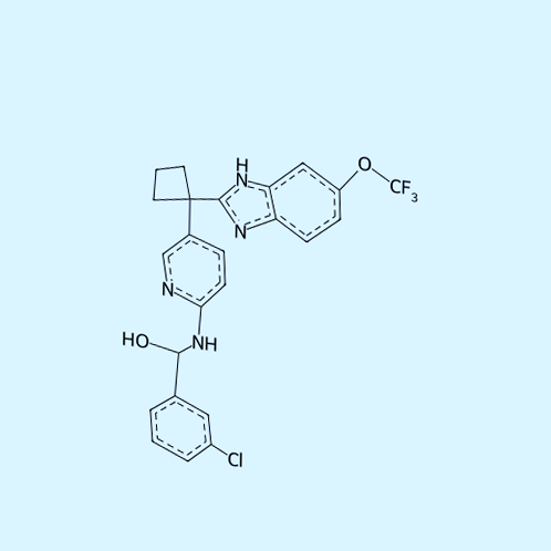 OC(Nc1ccc(C2(c3nc4ccc(OC(F)(F)F)cc4[nH]3)CCC2)cn1)c1cccc(Cl)c1